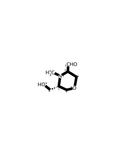 CN1C(C=O)COC[C@@H]1CO